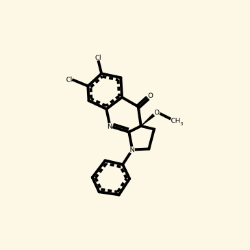 CO[C@@]12CCN(c3ccccc3)C1=Nc1cc(Cl)c(Cl)cc1C2=O